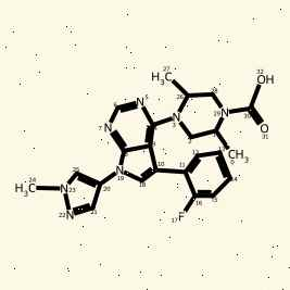 CC1CN(c2ncnc3c2c(-c2ccccc2F)cn3-c2cnn(C)c2)C(C)CN1C(=O)O